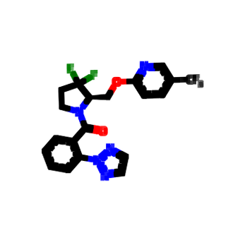 O=C(c1ccccc1-n1nccn1)N1CCC(F)(F)[C@H]1COc1ccc(C(F)(F)F)cn1